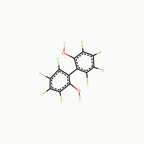 FOc1c(F)c(F)c(F)c(F)c1-c1c(F)c(F)c(F)c(F)c1OF